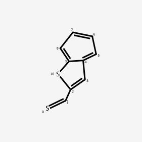 S=[C]c1cc2ccccc2s1